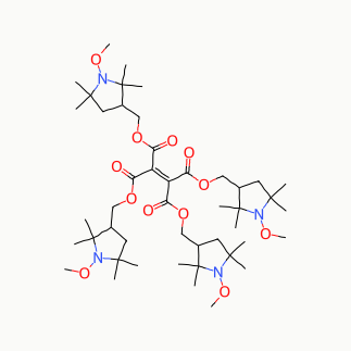 CON1C(C)(C)CC(COC(=O)C(C(=O)OCC2CC(C)(C)N(OC)C2(C)C)=C(C(=O)OCC2CC(C)(C)N(OC)C2(C)C)C(=O)OCC2CC(C)(C)N(OC)C2(C)C)C1(C)C